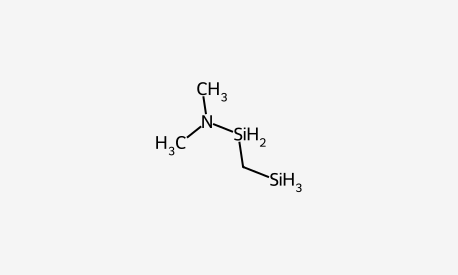 CN(C)[SiH2]C[SiH3]